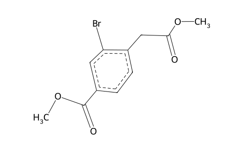 COC(=O)Cc1ccc(C(=O)OC)cc1Br